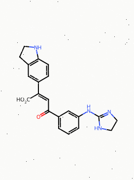 O=C(O)C(=CC(=O)c1cccc(NC2=NCCN2)c1)c1ccc2c(c1)CCN2